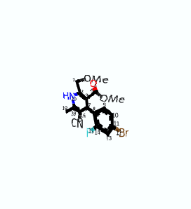 COCC1=C(C(=O)OC)C(c2ccc(Br)cc2F)C(C#N)=C(C)N1